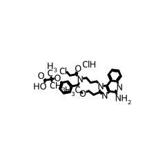 COCCc1nc2c(N)nc3ccccc3c2n1CCCN(Cc1cccc(OC(C)(C)C(=O)O)c1)C(=O)CCl.Cl